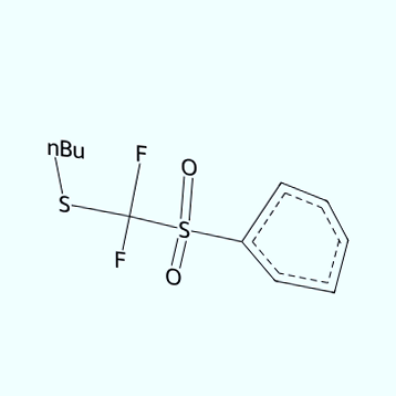 CCCCSC(F)(F)S(=O)(=O)c1ccccc1